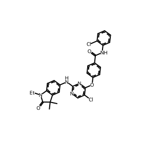 CCN1C(=O)C(C)(C)c2cc(Nc3ncc(Cl)c(Oc4ccc(C(=O)Nc5ccccc5Cl)cc4)n3)ccc21